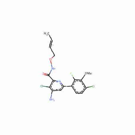 C/C=C/CONC(=O)c1nc(-c2ccc(Cl)c(OC)c2F)cc(N)c1Cl